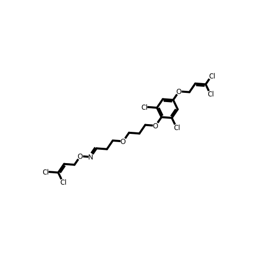 ClC(Cl)=CCON=CCCOCCCOc1c(Cl)cc(OCC=C(Cl)Cl)cc1Cl